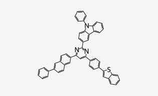 c1ccc(-c2ccc3cc(-c4cc(-c5ccc(-c6cc7ccccc7s6)cc5)nc(-c5ccc6c(c5)c5ccccc5n6-c5ccccc5)n4)ccc3c2)cc1